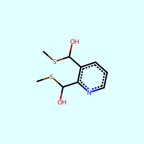 CSC(O)c1cccnc1C(O)SC